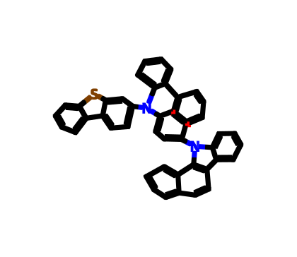 c1ccc(-c2ccccc2N(c2ccc(-n3c4ccccc4c4ccc5ccccc5c43)cc2)c2ccc3c(c2)sc2ccccc23)cc1